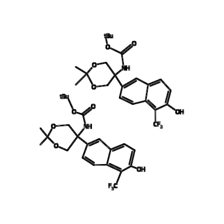 CC(C)(C)OC(=O)NC1(c2ccc3c(C(F)(F)F)c(O)ccc3c2)COC(C)(C)OC1.CC(C)(C)OC(=O)NC1(c2ccc3c(C(F)(F)F)c(O)ccc3c2)COC(C)(C)OC1